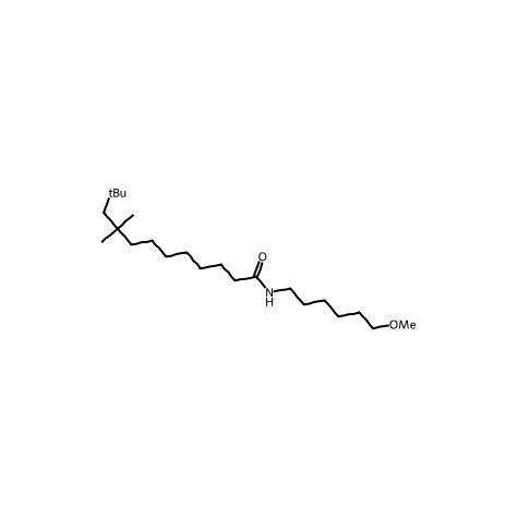 COCCCCCCNC(=O)CCCCCCCC(C)(C)CC(C)(C)C